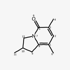 Cc1cc(C)c(=O)n2c1CC(C)C2